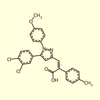 COc1ccc(-n2nc(/C=C(\C(=O)O)c3ccc(C)cc3)cc2-c2ccc(Cl)c(Cl)c2)cc1